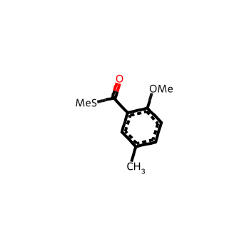 COc1ccc(C)cc1C(=O)SC